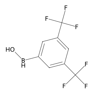 OBc1cc(C(F)(F)F)cc(C(F)(F)F)c1